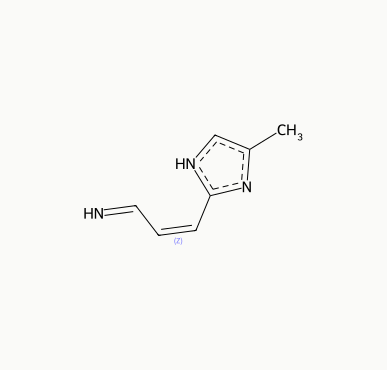 Cc1c[nH]c(/C=C\C=N)n1